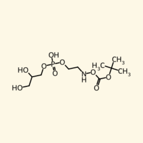 CC(C)(C)OC(=O)ONCCOP(=O)(O)OCC(O)CO